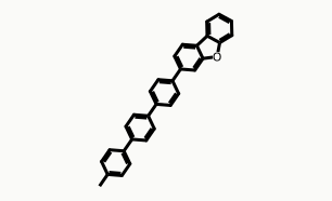 Cc1ccc(-c2ccc(-c3ccc(-c4ccc5c(c4)oc4ccccc45)cc3)cc2)cc1